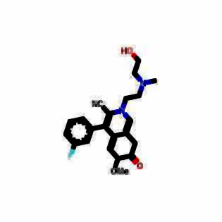 COC1C=C2C(=CN(CCN(C)CCO)C(C#N)=C2c2cccc(F)c2)CC1=O